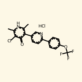 Cc1[nH]c(C)c(-c2ccc(-c3ccc(OC(F)(F)F)cc3)nc2)c(=O)c1Cl.Cl